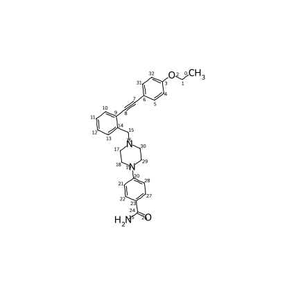 CCOc1ccc(C#Cc2ccccc2CN2CCN(c3ccc(C(N)=O)cc3)CC2)cc1